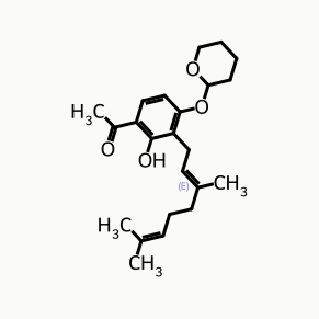 CC(=O)c1ccc(OC2CCCCO2)c(C/C=C(\C)CCC=C(C)C)c1O